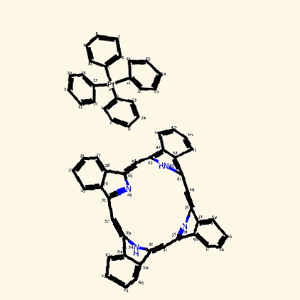 c1cc[c]([Pt]([c]2ccccc2)([c]2ccccc2)[c]2ccccc2)cc1.c1ccc2c(c1)-c1cc3[nH]c(cc4nc(cc5[nH]c(cc-2n1)c1ccccc51)-c1ccccc1-4)c1ccccc31